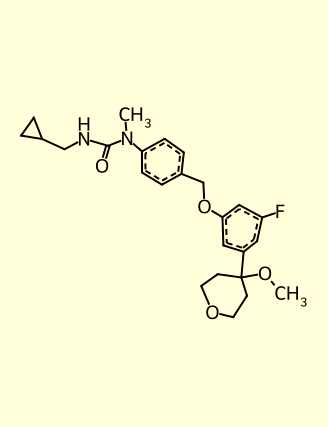 COC1(c2cc(F)cc(OCc3ccc(N(C)C(=O)NCC4CC4)cc3)c2)CCOCC1